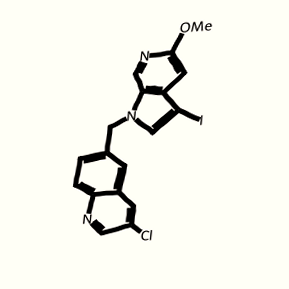 COc1cc2c(I)cn(Cc3ccc4ncc(Cl)cc4c3)c2cn1